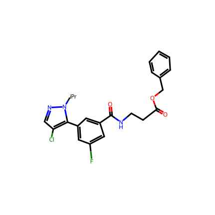 CC(C)n1ncc(Cl)c1-c1cc(F)cc(C(=O)NCCC(=O)OCc2ccccc2)c1